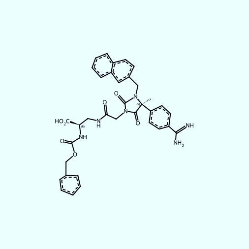 C[C@]1(c2ccc(C(=N)N)cc2)C(=O)N(CC(=O)NC[C@@H](NC(=O)OCc2ccccc2)C(=O)O)C(=O)N1Cc1ccc2ccccc2c1